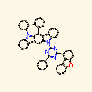 c1ccc(-c2nc(-c3cccc4oc5ccccc5c34)nc(-n3c4ccccc4c4c5c6c(cc43)c3ccccc3n6-c3ccccc3-c3ccccc3-5)n2)cc1